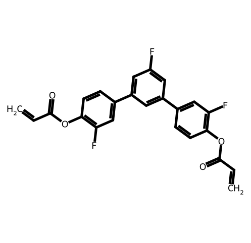 C=CC(=O)Oc1ccc(-c2cc(F)cc(-c3ccc(OC(=O)C=C)c(F)c3)c2)cc1F